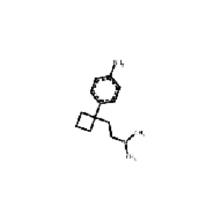 CN(C)CCC1(c2ccc(N)cc2)CCC1